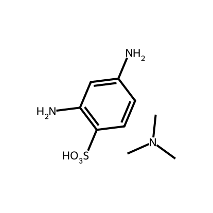 CN(C)C.Nc1ccc(S(=O)(=O)O)c(N)c1